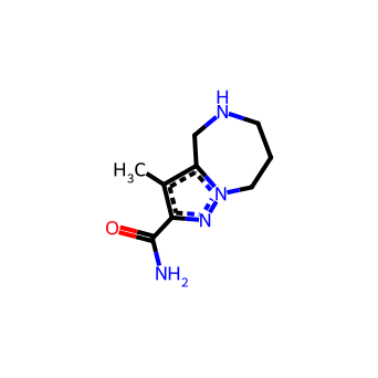 Cc1c(C(N)=O)nn2c1CNCCC2